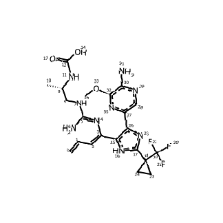 C=C/C=C(\N=C(/N)NC[C@H](C)NC(=O)O)c1[nH]c(C2(C(F)(F)F)CC2)nc1-c1cnc(N)c(OC)n1